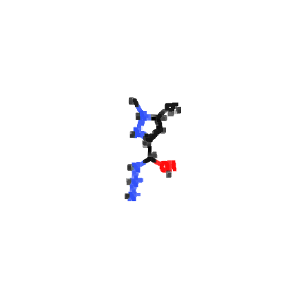 Cn1nc(C(O)N=[N+]=[N-])cc1C(F)(F)F